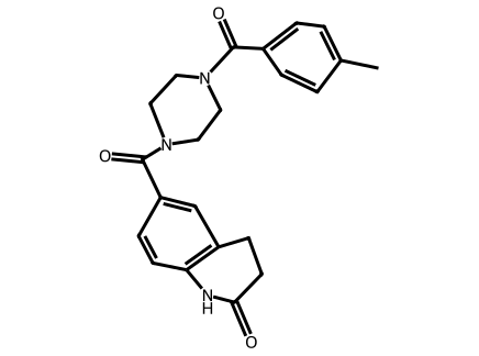 Cc1ccc(C(=O)N2CCN(C(=O)c3ccc4c(c3)CCC(=O)N4)CC2)cc1